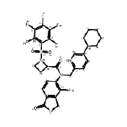 O=C1OCc2c1ccc(N(Cc1ccc(C3CCCCC3)cn1)C(=O)[C@H]1CCN1S(=O)(=O)c1c(F)c(F)c(F)c(F)c1F)c2F